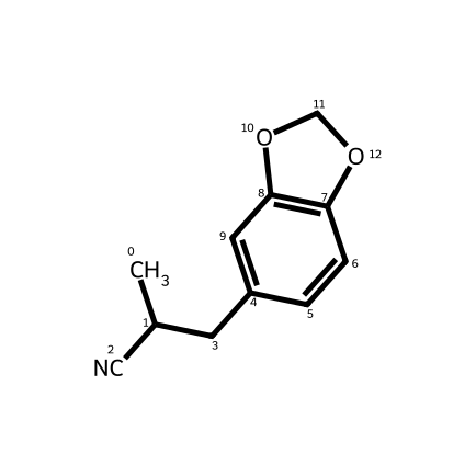 CC(C#N)Cc1ccc2c(c1)OCO2